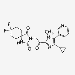 Cn1c(C(=O)CN2C(=O)NC3(CCC(F)(F)CC3)C2=O)nc(C2CC2)c1-c1cccnc1